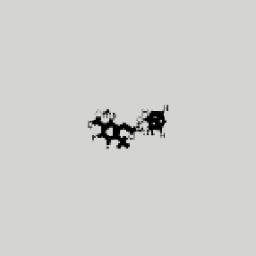 COc1c(CC(Cl)B2O[C@@H]3C[C@@H]4C[C@@H](C4(C)C)[C@]3(C)O2)c(C(C)(C)C)c(F)c(F)c1C(=O)O